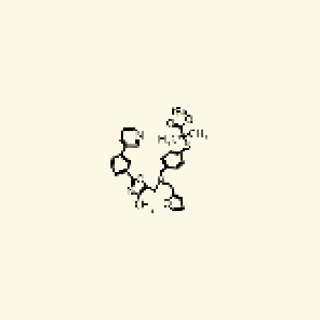 Cc1nc(-c2cccc(-c3cccnc3)c2)oc1CN(Cc1ccc(SC(C)(C)C(=O)OC(C)(C)C)cc1)Cc1ccco1